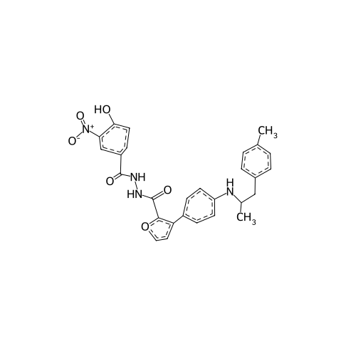 Cc1ccc(CC(C)Nc2ccc(-c3ccoc3C(=O)NNC(=O)c3ccc(O)c([N+](=O)[O-])c3)cc2)cc1